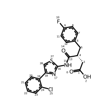 O=C(O)C[C@@H](Cc1ccc(F)cc1)C(=O)Nc1nc(-c2ccccc2Cl)cs1